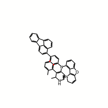 Cc1ccccc1C1=C(N(c2ccc(-c3ccc4c5c(cccc35)-c3ccccc3-4)cc2)c2cccc3oc4c(c23)NCC=C4)C=CNC1C